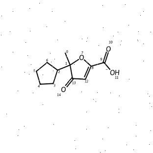 CC1(C2CCCC2)OC(C(=O)O)=CC1=O